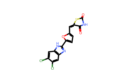 O=C1NC(=O)/C(=C\c2ccc(-c3nc4cc(Cl)c(Cl)cc4[nH]3)o2)S1